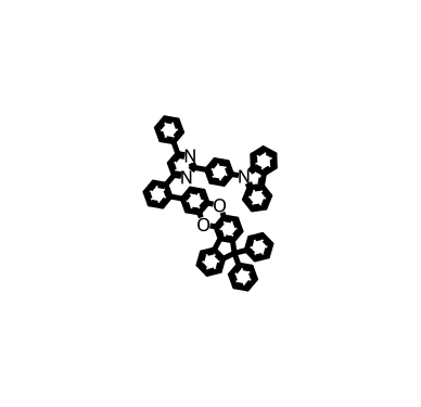 c1ccc(-c2cc(-c3ccccc3-c3ccc4c(c3)Oc3c(ccc5c3-c3ccccc3C5(c3ccccc3)c3ccccc3)O4)nc(-c3ccc(-n4c5ccccc5c5ccccc54)cc3)n2)cc1